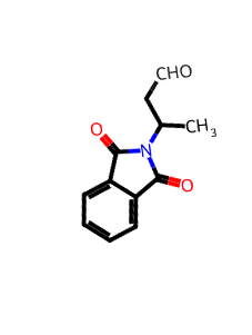 CC(CC=O)N1C(=O)c2ccccc2C1=O